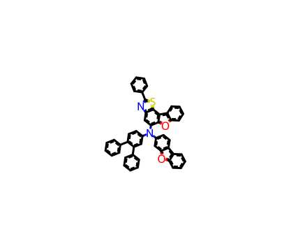 c1ccc(-c2nc3cc(N(c4ccc(-c5ccccc5)c(-c5ccccc5)c4)c4ccc5c(c4)oc4ccccc45)c4oc5ccccc5c4c3s2)cc1